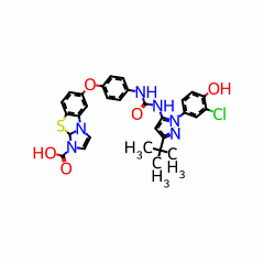 CC(C)(C)c1cc(NC(=O)Nc2ccc(Oc3ccc4c(c3)N3C=CN(C(=O)O)C3S4)cc2)n(-c2ccc(O)c(Cl)c2)n1